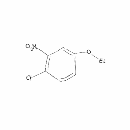 CCOc1ccc(Cl)c([N+](=O)[O-])c1